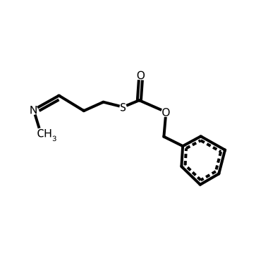 C/N=C\CCSC(=O)OCc1ccccc1